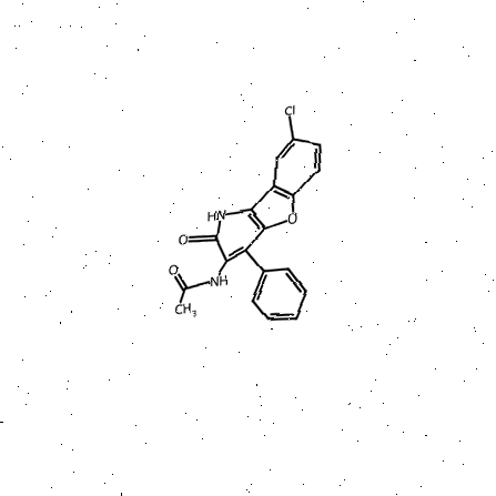 CC(=O)Nc1c(-c2ccccc2)c2oc3ccc(Cl)cc3c2[nH]c1=O